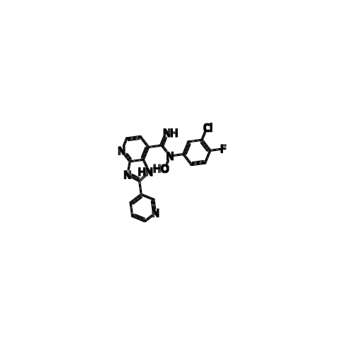 N=C(c1ccnc2nc(-c3cccnc3)[nH]c12)N(O)c1ccc(F)c(Cl)c1